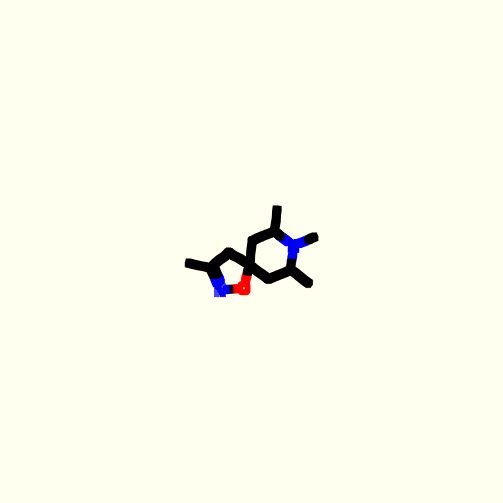 CC1=NOC2(C1)CC(C)N(C)C(C)C2